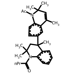 CCCC(=O)N1c2ccccc2C(C)(c2ccc3c(c2)C(C)=CC(C)(C)N3C(C)=O)CC1(C)C